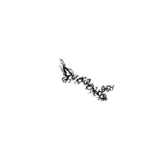 O=c1cc(-c2ccc(OCCOCCN(CCOCCO)Cc3ccncc3)cc2)oc2ccccc12